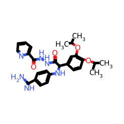 CC(C)Oc1ccc(C(Nc2ccc(C(=N)N)cc2)C(=O)NNC(=O)c2ccccn2)cc1OC(C)C